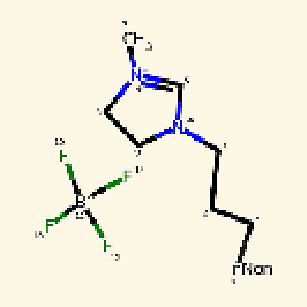 CCCCCCCCCCCCN1C=[N+](C)CC1.F[B-](F)(F)F